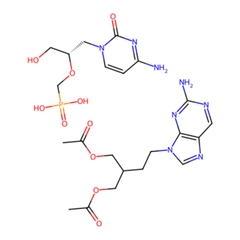 CC(=O)OCC(CCn1cnc2cnc(N)nc21)COC(C)=O.Nc1ccn(C[C@@H](CO)OCP(=O)(O)O)c(=O)n1